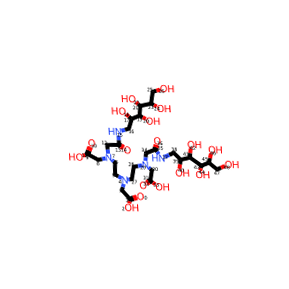 O=C(O)CN(CCN(CC(=O)O)CC(=O)NCC(O)C(O)C(O)C(O)CO)CCN(CC(=O)O)CC(=O)NCC(O)C(O)C(O)C(O)CO